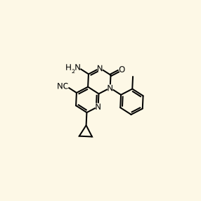 Cc1ccccc1-n1c(=O)nc(N)c2c(C#N)cc(C3CC3)nc21